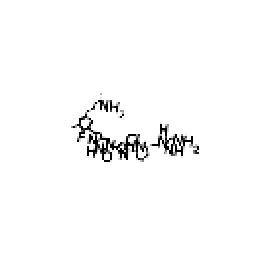 Cc1cc(CCC[C@H](C)N)cc(-c2cc3cn(-c4cnc([C@@H]5CCC[C@@H](CCNC(=N)CN)N5)c(Cl)c4)c(=O)nc3[nH]2)c1F